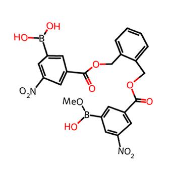 COB(O)c1cc(C(=O)OCc2ccccc2COC(=O)c2cc(B(O)O)cc([N+](=O)[O-])c2)cc([N+](=O)[O-])c1